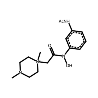 CC(=O)Nc1cccc(N(O)C(=O)C[N+]2(C)CCN(C)CC2)c1